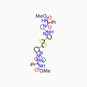 COC(=O)N[C@H](C(=O)N1CCCC1c1nc2c(-c3csc4c(-c5cccc6[nH]c(C7CCCN7C(=O)[C@@H](NC(=O)OC)C(C)C)nc56)csc34)cccc2[nH]1)C(C)C